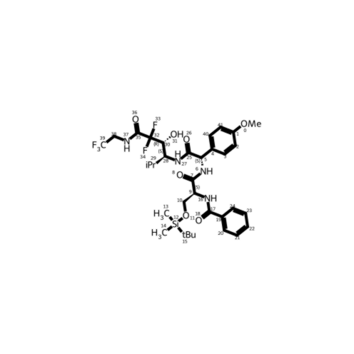 COc1ccc([C@H](NC(=O)[C@H](CO[Si](C)(C)C(C)(C)C)NC(=O)c2ccccc2)C(=O)N[C@@H](C(C)C)[C@@H](O)C(F)(F)C(=O)NCC(F)(F)F)cc1